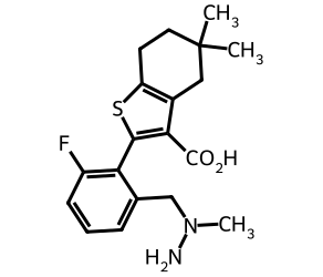 CN(N)Cc1cccc(F)c1-c1sc2c(c1C(=O)O)CC(C)(C)CC2